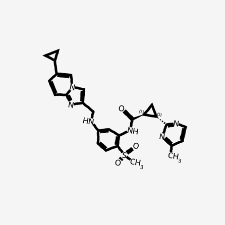 Cc1ccnc([C@H]2C[C@@H]2C(=O)Nc2cc(NCc3cn4cc(C5CC5)ccc4n3)ccc2S(C)(=O)=O)n1